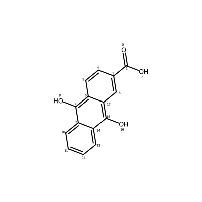 O=C(O)c1ccc2c(O)c3ccccc3c(O)c2c1